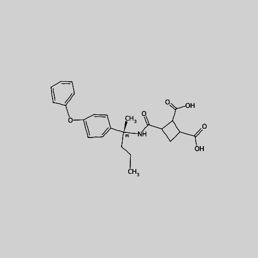 CCC[C@@](C)(NC(=O)C1CC(C(=O)O)C1C(=O)O)c1ccc(Oc2ccccc2)cc1